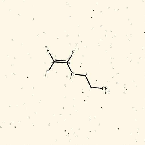 FC(F)=C(F)OCCC(F)(F)F